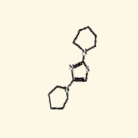 c1sc(N2CCCCC2)nc1N1CCCCC1